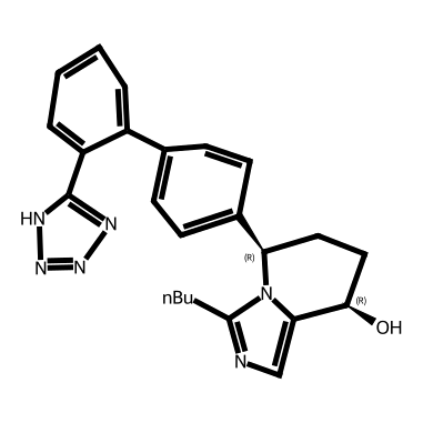 CCCCc1ncc2n1[C@@H](c1ccc(-c3ccccc3-c3nnn[nH]3)cc1)CC[C@H]2O